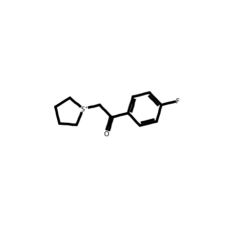 O=C(C[S+]1CCCC1)c1ccc(F)cc1